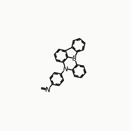 C=Nc1ccc(N2c3ccccc3B3c4ccccc4-c4cccc2c43)cc1